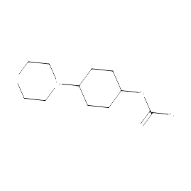 NC(=O)NC1CCC(N2CCOCC2)CC1